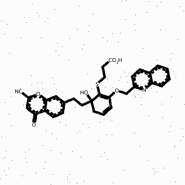 N#Cc1cc(=O)c2ccc(CCC3(O)CC=CC(OCc4ccc5ccccc5n4)=C3SCCC(=O)O)cc2o1